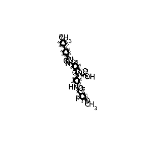 COc1cc(F)c(CC(=O)Nc2ccc(C(=O)N(CC(=O)O)Cc3ccc(-c4noc(-c5ccc(-c6ccc(C)cc6)cc5)n4)cc3)cc2)c(F)c1